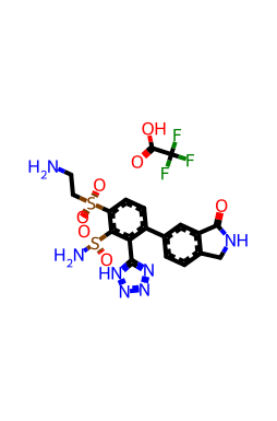 NCCS(=O)(=O)c1ccc(-c2ccc3c(c2)C(=O)NC3)c(-c2nnn[nH]2)c1S(N)(=O)=O.O=C(O)C(F)(F)F